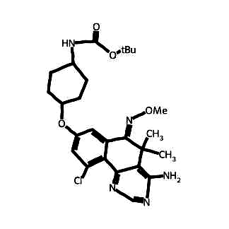 CON=C1c2cc(OC3CCC(NC(=O)OC(C)(C)C)CC3)cc(Cl)c2-c2ncnc(N)c2C1(C)C